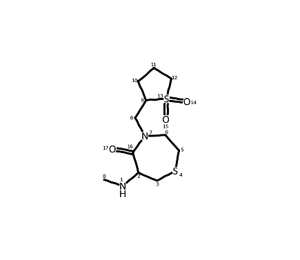 CNC1CSCCN(CC2CCCS2(=O)=O)C1=O